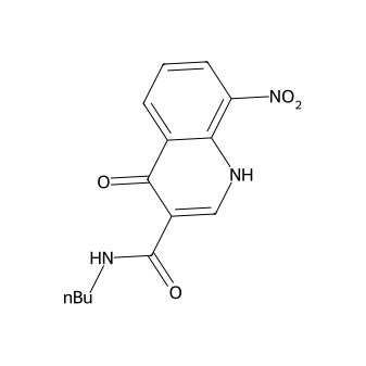 CCCCNC(=O)c1c[nH]c2c([N+](=O)[O-])cccc2c1=O